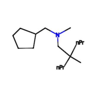 CCCC(C)(CCC)CN(C)CC1CCCC1